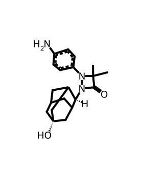 CC1(C)C(=O)N([C@H]2C3CC4CC2C[C@](O)(C4)C3)N1c1ccc(N)cc1